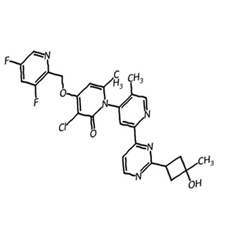 Cc1cnc(-c2ccnc(C3CC(C)(O)C3)n2)cc1-n1c(C)cc(OCc2ncc(F)cc2F)c(Cl)c1=O